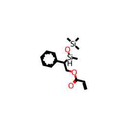 C=CC(=O)OCC(c1ccccc1)[SiH](C)O[Si](C)(C)C